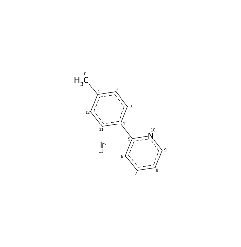 Cc1ccc(-c2ccccn2)cc1.[Ir]